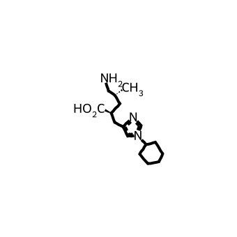 C[C@@H](CN)C[C@@H](Cc1cn(C2CCCCC2)cn1)C(=O)O